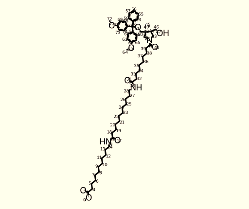 COC(=O)CCCCCCCCCCCNC(=O)CCCCCCCCCCCNC(=O)CCCCCCCCC(=O)N1C[C@](C)(CO)[C@](C)(COC(c2ccccc2)(c2ccc(OC)cc2)c2ccc(OC)cc2)C1